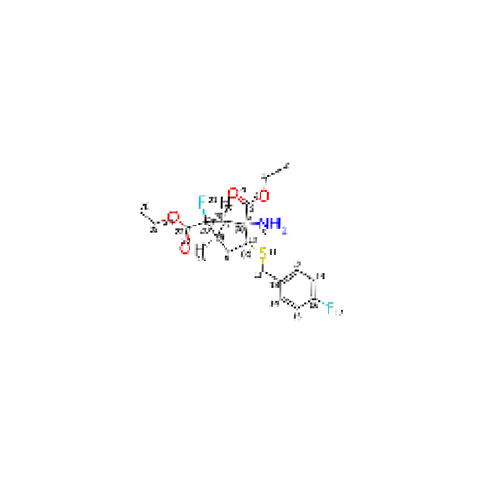 CCOC(=O)[C@@]1(N)[C@H]2[C@@H](C[C@H]1SCc1ccc(F)cc1)[C@]2(F)C(=O)OCC